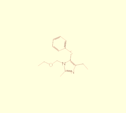 CCOCn1c(C)nc(CC)c1Sc1ccccc1